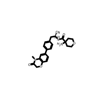 CN1C(=O)COc2ccc(-c3ccc(C[C@@H](C#N)NC(=O)C4(N)CCOCC4)cc3)cc21